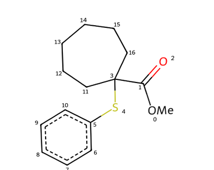 COC(=O)C1(Sc2ccccc2)CCCCCC1